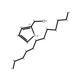 CCCCCCCCCCCC.ClCc1cccs1